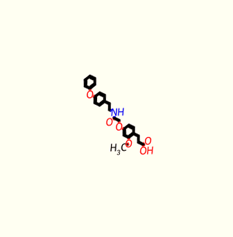 COc1cc(OCC(=O)NCCc2ccc(Oc3ccccc3)cc2)ccc1CCC(=O)O